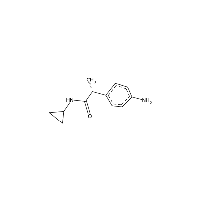 C[C@@H](C(=O)NC1CC1)c1ccc(N)cc1